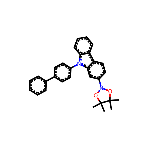 CC1(C)ON(c2ccc3c4ccccc4n(-c4ccc(-c5ccccc5)cc4)c3c2)OC1(C)C